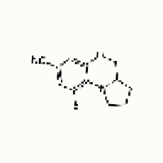 N#Cc1cc(F)c2c(c1)OCC1CCCN21